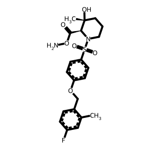 Cc1cc(F)ccc1COc1ccc(S(=O)(=O)N2CCC[C@@](C)(O)[C@@H]2C(=O)ON)cc1